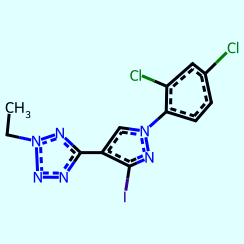 CCn1nnc(-c2cn(-c3ccc(Cl)cc3Cl)nc2I)n1